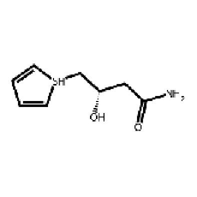 NC(=O)C[C@H](O)C[SH]1C=CC=C1